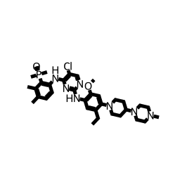 CCc1cc(Nc2ncc(Cl)c(Nc3ccc(C)c(C)c3P(C)(C)=O)n2)c(OC)cc1N1CCC(N2CCN(C)CC2)CC1